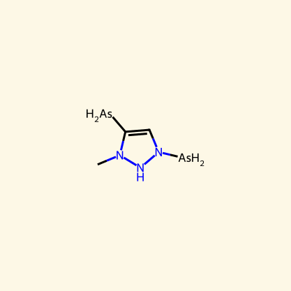 CN1NN([AsH2])C=C1[AsH2]